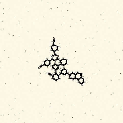 N#Cc1ccc(-c2nc(-c3ccc(C#N)cc3)nc(-c3ccccc3-c3cccc(-c4c(C#N)cccc4-c4cccc(-c5ccc6c(ccc7ccccc76)c5)c4)c3)n2)cc1